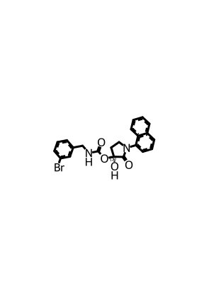 O=C(NCc1cccc(Br)c1)O[C@@]1(O)CCN(c2cccc3ccccc23)C1=O